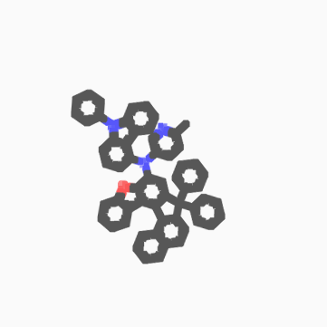 Cc1ccc(N(c2cc3c(c4c2oc2ccccc24)-c2c(ccc4ccccc24)C3(c2ccccc2)c2ccccc2)c2cccc3c2c2ccccc2n3-c2ccccc2)cn1